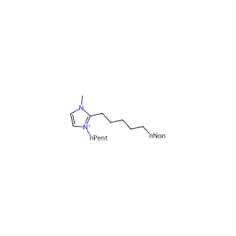 CCCCCCCCCCCCCCc1n(C)cc[n+]1CCCCC